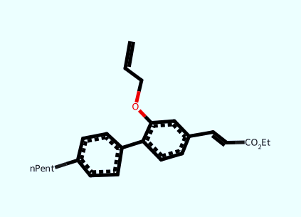 C=CCOc1cc(/C=C/C(=O)OCC)ccc1-c1ccc(CCCCC)cc1